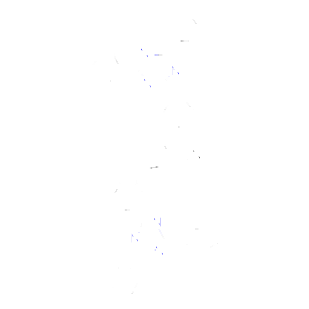 N#Cc1cc(-c2cccc(-c3nc(-c4ccccc4)nc(-c4ccccc4)n3)c2)ccc1-c1cccc(-c2nc(-c3ccccc3)nc(-c3ccccc3)n2)c1